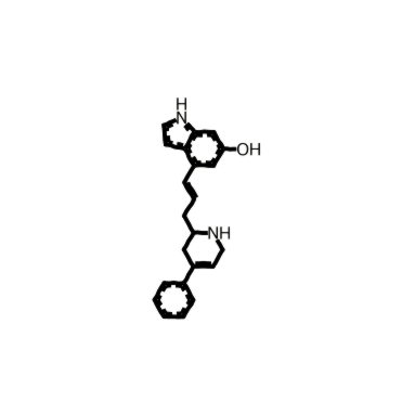 Oc1cc(C=CCC2CC(c3ccccc3)=CCN2)c2cc[nH]c2c1